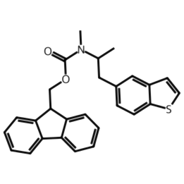 CC(Cc1ccc2sccc2c1)N(C)C(=O)OCC1c2ccccc2-c2ccccc21